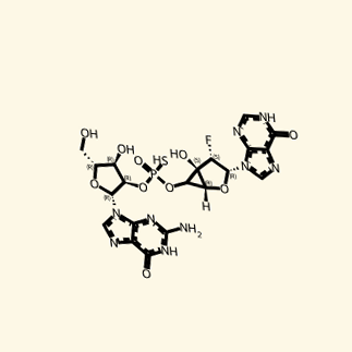 Nc1nc2c(ncn2[C@@H]2O[C@H](CO)[C@@H](O)[C@H]2OP(=O)(S)OC2[C@H]3O[C@@H](n4cnc5c(=O)[nH]cnc54)[C@@H](F)[C@@]23O)c(=O)[nH]1